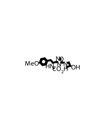 COc1ccc(CC(NC(=O)O)c2noc(N3CC(O)C3)n2)cc1